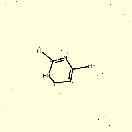 ClC1=C[CH]NC(Cl)=N1